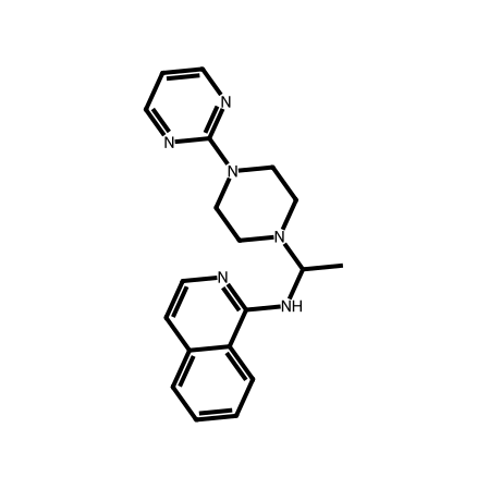 CC(Nc1nccc2ccccc12)N1CCN(c2ncccn2)CC1